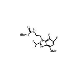 COc1cc(F)c(F)c2c1nc(C(F)F)n2CCNC(=O)OC(C)(C)C